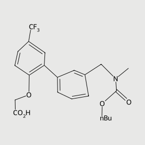 CCCCOC(=O)N(C)Cc1cccc(-c2cc(C(F)(F)F)ccc2OCC(=O)O)c1